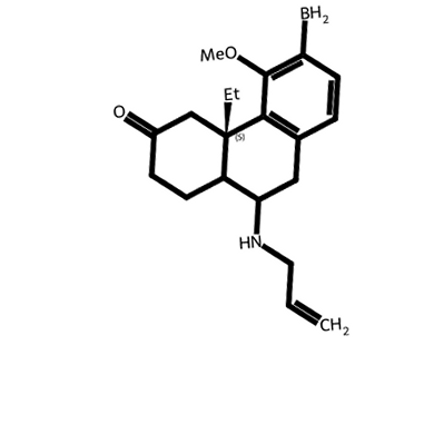 Bc1ccc2c(c1OC)[C@@]1(CC)CC(=O)CCC1C(NCC=C)C2